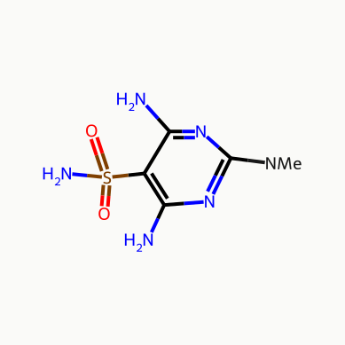 CNc1nc(N)c(S(N)(=O)=O)c(N)n1